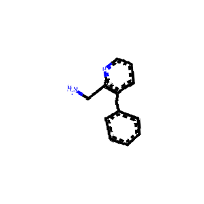 NCc1ncccc1-c1ccccc1